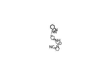 N#C[C@@H]1CCCN1C(=O)CN[C@@H]1CC[C@H](Cn2nnc3ccccc32)C1